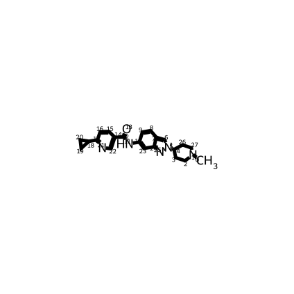 CN1CCC(n2cc3ccc(NC(=O)c4ccc(C5CC5)nc4)cc3n2)CC1